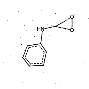 c1ccc(NC2OO2)cc1